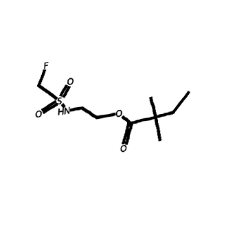 CCC(C)(C)C(=O)OCCNS(=O)(=O)CF